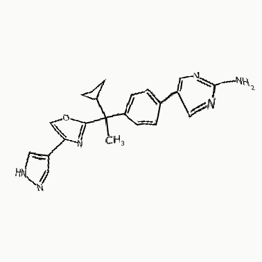 CC(c1ccc(-c2cnc(N)nc2)cc1)(c1nc(-c2cn[nH]c2)co1)C1CC1